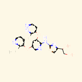 Cc1ncccc1Oc1cnc(Nc2nc(C(O)CO)cs2)c(Oc2ccnnc2C)c1